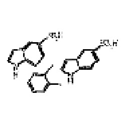 Cc1ccccc1C.O=S(=O)(O)c1ccc2[nH]ccc2c1.O=S(=O)(O)c1ccc2[nH]ccc2c1